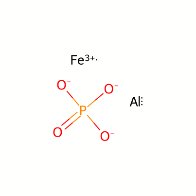 O=P([O-])([O-])[O-].[Al].[Fe+3]